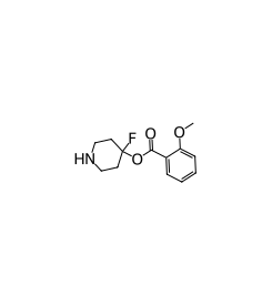 COc1ccccc1C(=O)OC1(F)CCNCC1